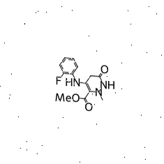 COC(=O)C1=C(Nc2ccccc2F)CC(=O)NN1C